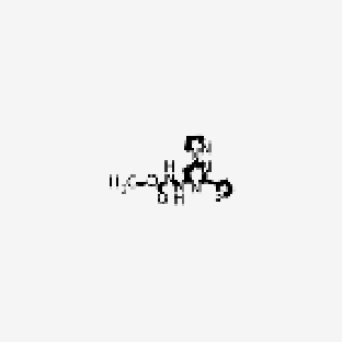 CCOC(=O)NNc1cc(-n2cccn2)nc(-c2cccs2)n1